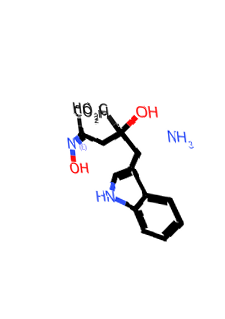 N.O=C(O)/C(CC(O)(Cc1c[nH]c2ccccc12)C(=O)O)=N/O